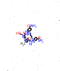 CCn1nc(C)cc1C(=O)Nc1nc2cc(C(N)=O)ccc2n1CC=CCn1c(NC(=O)c2cc(C)nn2CCO)nc2cc(C(N)=O)ccc21